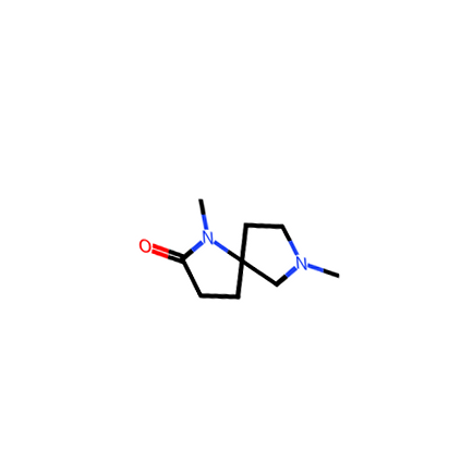 CN1CCC2(CCC(=O)N2C)C1